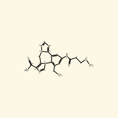 CCc1cc(NC(=O)CCOC)cc2c1-n1cnc(C(=O)O)c1Cn1ncnc1-2